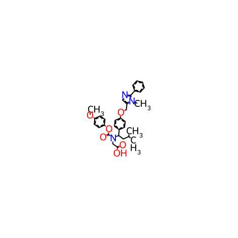 COc1ccc(OC(=O)N(CC(=O)O)C(CC(C)C)c2ccc(OCc3cnc(-c4ccccc4)n3C)cc2)cc1